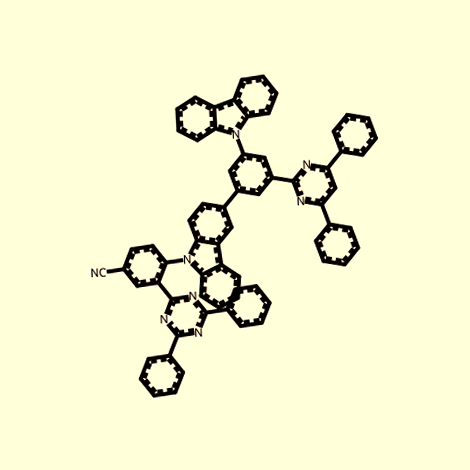 N#Cc1ccc(-n2c3ccccc3c3cc(-c4cc(-c5nc(-c6ccccc6)cc(-c6ccccc6)n5)cc(-n5c6ccccc6c6ccccc65)c4)ccc32)c(-c2nc(-c3ccccc3)nc(-c3ccccc3)n2)c1